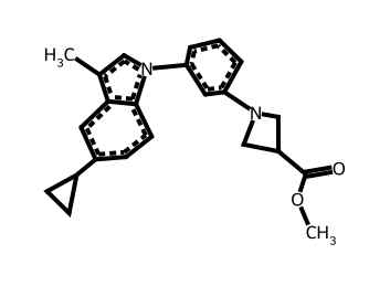 COC(=O)C1CN(c2cccc(-n3cc(C)c4cc(C5CC5)ccc43)c2)C1